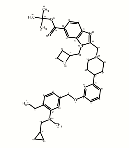 CCc1ccc(COc2cccc(C3CCN(Cc4nc5ccc(C(=O)OC(C)(C)C)cc5n4CC4CCO4)CC3)n2)cc1N(C)CC1CC1